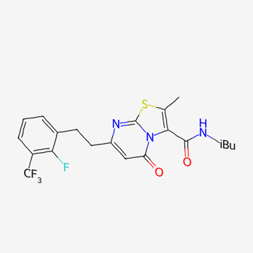 CCC(C)NC(=O)c1c(C)sc2nc(CCc3cccc(C(F)(F)F)c3F)cc(=O)n12